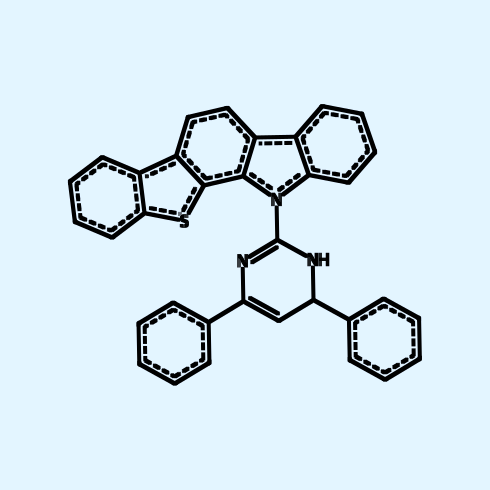 C1=C(c2ccccc2)N=C(n2c3ccccc3c3ccc4c5ccccc5sc4c32)NC1c1ccccc1